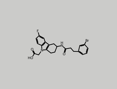 O=C(O)Cn1c2c(c3cc(F)ccc31)CC(NC(=O)CCc1cccc(Br)c1)CC2